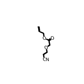 C=CCOC(=O)COCCC#N